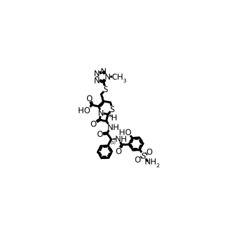 Cn1nnnc1SCC1=C(C(=O)O)N2C(=O)C(NC(=O)[C@@H](NC(=O)c3cc(S(N)(=O)=O)ccc3O)c3ccccc3)[C@@H]2SC1